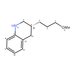 COCCC[C@H]1CNc2ccccc2C1